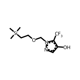 C[Si](C)(C)CCOCn1ncc(O)c1C(F)(F)F